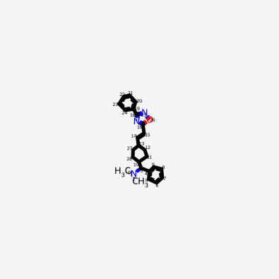 CN(C)C(c1ccccc1)C1CCC(C=Cc2nc(-c3ccccc3)no2)CC1